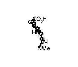 CNCCCNc1ccc(-c2ccnc(Nc3cccc(CN4CCN(CC(=O)O)C(=O)C4)c3)n2)cn1